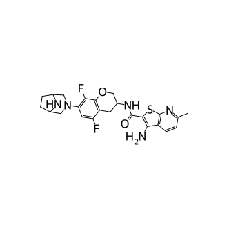 Cc1ccc2c(N)c(C(=O)NC3COc4c(F)c(N5CC6CCC(C5)N6)cc(F)c4C3)sc2n1